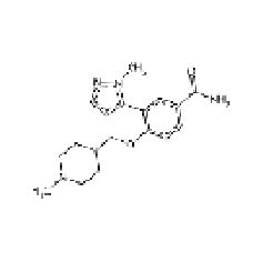 CN1CCC(COc2ccc(C(N)=O)cc2-c2ccnn2C)CC1